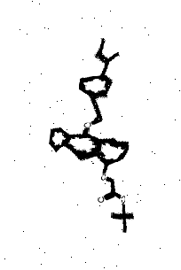 CCC(C)c1ccc(COc2c3ccccc3cc3c(OCC(=O)OC(C)(C)C)cccc23)cc1